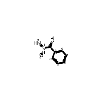 N=[SH](=O)C(=O)c1ccccc1